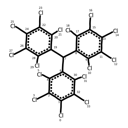 Clc1c(Cl)c(Cl)c(C(c2c(Cl)c(Cl)c(Cl)c(Cl)c2Cl)c2c(Cl)c(Cl)c(Cl)c(Cl)c2Cl)c(Cl)c1Cl